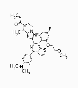 C=CC(=O)N1CCn2nc(-c3nc(-c4ccc(N(C)C)nc4)c4ccsc4c3-c3c(F)cc(F)cc3OCCOC)cc2[C@@H]1C